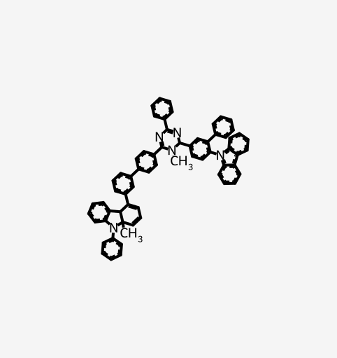 CN1C(c2ccc(-c3cccc(C4=CC=CC5(C)C4c4ccccc4N5c4ccccc4)c3)cc2)=NC(c2ccccc2)=NC1c1ccc(-n2c3ccccc3c3ccccc32)c(-c2ccccc2)c1